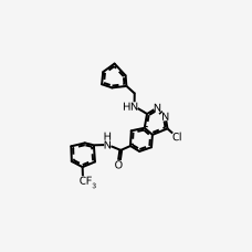 O=C(Nc1cccc(C(F)(F)F)c1)c1ccc2c(Cl)nnc(NCc3ccccc3)c2c1